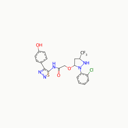 O=C(COC1CC(C(F)(F)F)NN1c1ccccc1Cl)Nc1snnc1-c1ccc(O)cc1